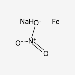 O=[N+]([O-])[O-].[Fe].[NaH]